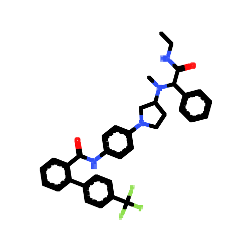 CCNC(=O)C(c1ccccc1)N(C)C1CCN(c2ccc(NC(=O)c3ccccc3-c3ccc(C(F)(F)F)cc3)cc2)C1